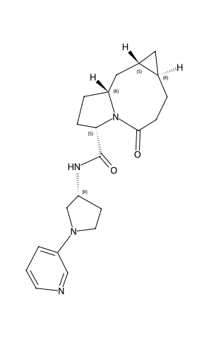 O=C(N[C@@H]1CCN(c2cccnc2)C1)[C@@H]1CC[C@@H]2C[C@@H]3C[C@H]3CCC(=O)N21